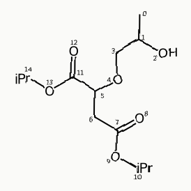 CC(O)COC(CC(=O)OC(C)C)C(=O)OC(C)C